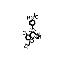 CC(=O)Nc1ccc(-c2nc(-c3nncn3COCC[Si](C)(C)C)c(-c3ccccc3Cl)o2)cc1